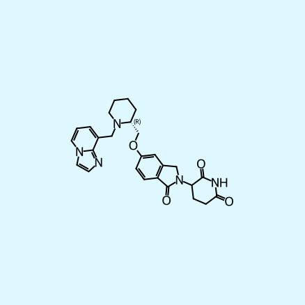 O=C1CCC(N2Cc3cc(OC[C@H]4CCCCN4Cc4cccn5ccnc45)ccc3C2=O)C(=O)N1